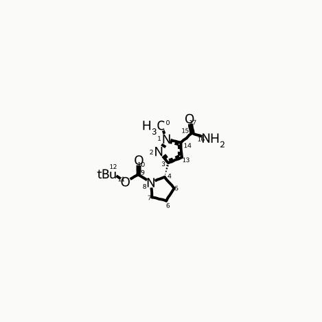 Cn1nc([C@@H]2CCCN2C(=O)OC(C)(C)C)cc1C(N)=O